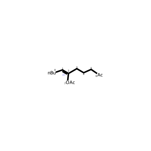 CCCC/C=C(/CCCC(C)=O)OC(C)=O